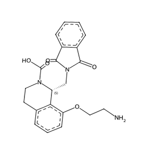 NCCOc1cccc2c1[C@@H](CN1C(=O)c3ccccc3C1=O)N(C(=O)O)CC2